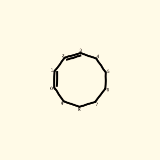 [C]1=C\C=C/CCCCCC/1